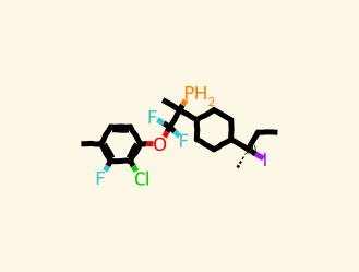 CC[C@@](C)(I)C1CCC(C(C)(P)C(F)(F)Oc2ccc(C)c(F)c2Cl)CC1